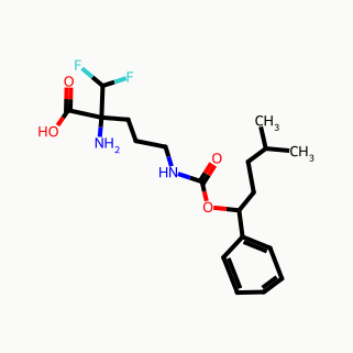 CC(C)CCC(OC(=O)NCCCC(N)(C(=O)O)C(F)F)c1ccccc1